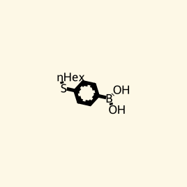 CCCCCCSc1ccc(B(O)O)cc1